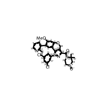 COc1cc2c(cc1-c1cccnc1F)-c1c(c(C(=O)N3CC[S+]([O-])CC3(C)C)nn1-c1cc(Cl)cc(Cl)c1)CO2